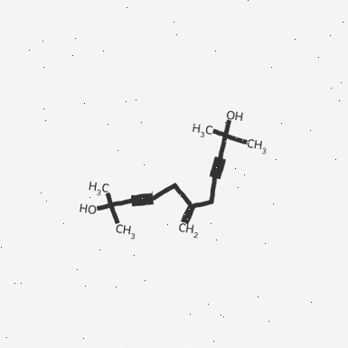 C=C(CC#CC(C)(C)O)CC#CC(C)(C)O